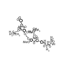 COc1cc2c(cc1OCCCOc1cc3c(cc1OC)C(=O)N1C=C(c4ccc5c(c4)OCO5)C[C@H]1C(=O)N3COCC[Si](C)(C)C)N(COCC[Si](C)(C)C)C(=O)[C@@H]1CC(c3ccc(NC(=O)[C@H](C)NC(=O)[C@@H](OC(N)=O)C(C)C)cc3)=CN1C2=O